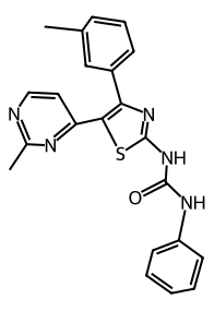 Cc1cccc(-c2nc(NC(=O)Nc3ccccc3)sc2-c2ccnc(C)n2)c1